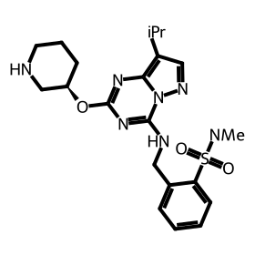 CNS(=O)(=O)c1ccccc1CNc1nc(O[C@@H]2CCCNC2)nc2c(C(C)C)cnn12